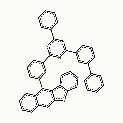 c1ccc(-c2cccc(-c3nc(-c4ccccc4)nc(-c4cccc(-c5c6ccccc6cc6sc7ccccc7c56)c4)n3)c2)cc1